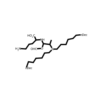 CCCCCCCCCCCCCCCCN(CCCCCCCCCCCCCCCC)C(C)C(NC(CCCN)C(=O)O)OC=O